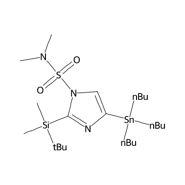 CCC[CH2][Sn]([CH2]CCC)([CH2]CCC)[c]1cn(S(=O)(=O)N(C)C)c([Si](C)(C)C(C)(C)C)n1